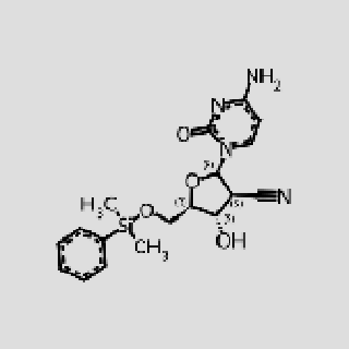 C[Si](C)(OC[C@H]1O[C@@H](n2ccc(N)nc2=O)[C@@H](C#N)[C@@H]1O)c1ccccc1